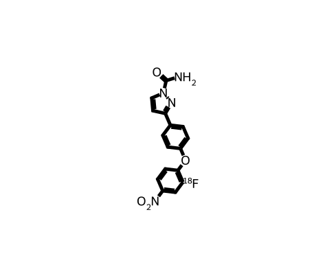 NC(=O)n1ccc(-c2ccc(Oc3ccc([N+](=O)[O-])cc3[18F])cc2)n1